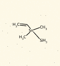 C=[CH][Sn]([CH3])([CH3])[SiH3]